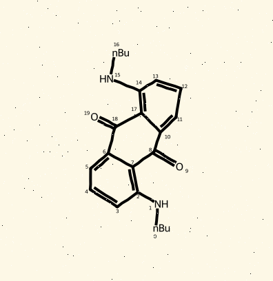 CCCCNc1cccc2c1C(=O)c1cccc(NCCCC)c1C2=O